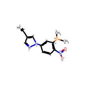 C#Cc1cnn(-c2ccc([N+](=O)[O-])c(P(C)C)c2)c1